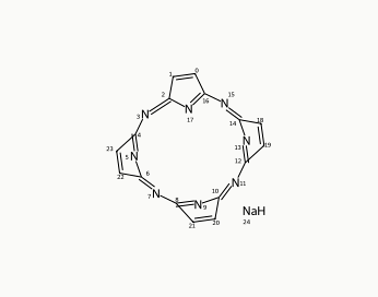 C1=CC2=NC3=NC(=NC4=NC(=NC5=NC(=NC1=N2)C=C5)C=C4)C=C3.[NaH]